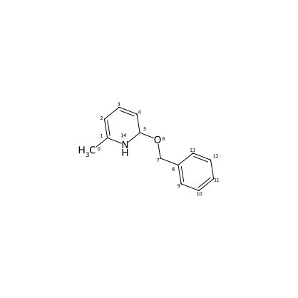 CC1=CC=CC(OCc2ccccc2)N1